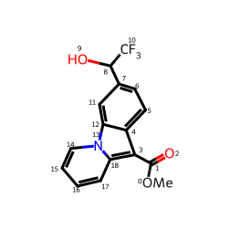 COC(=O)c1c2ccc(C(O)C(F)(F)F)cc2n2ccccc12